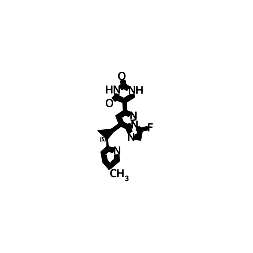 Cc1ccc([C@H]2CC2c2cc(-c3c[nH]c(=O)[nH]c3=O)nn3c(F)cnc23)nc1